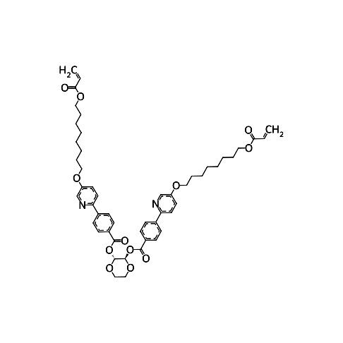 C=CC(=O)OCCCCCCCCOc1ccc(-c2ccc(C(=O)O[C@H]3OCCO[C@@H]3OC(=O)c3ccc(-c4ccc(OCCCCCCCCOC(=O)C=C)cn4)cc3)cc2)nc1